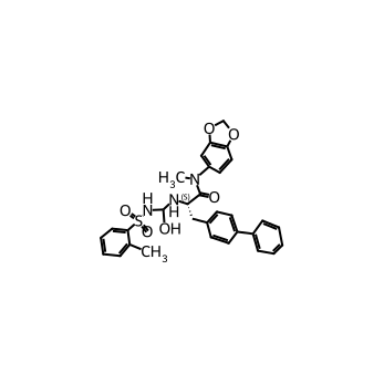 Cc1ccccc1S(=O)(=O)NC(O)N[C@@H](Cc1ccc(-c2ccccc2)cc1)C(=O)N(C)c1ccc2c(c1)OCO2